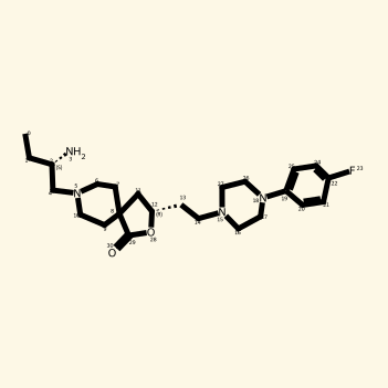 CC[C@H](N)CN1CCC2(CC1)C[C@H](CCN1CCN(c3ccc(F)cc3)CC1)OC2=O